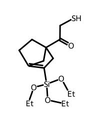 CCO[Si](OCC)(OCC)C1=C2CCC(C(=O)CS)(C2)C1